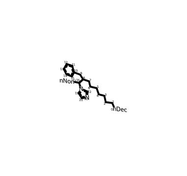 CCCCCCCCCCCCCCCCCC(Cc1ccccc1)C(CCCCCCCCC)n1ccnc1